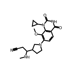 CNC(CC#N)C1CCN(c2ccc3c(=O)[nH]c(=O)n(C4CC4)c3c2OC)C1